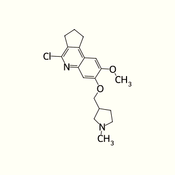 COc1cc2c3c(c(Cl)nc2cc1OCC1CCN(C)C1)CCC3